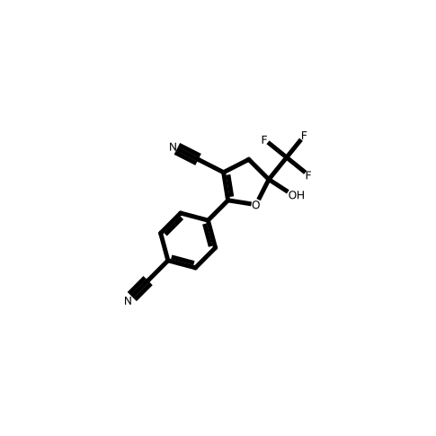 N#CC1=C(c2ccc(C#N)cc2)OC(O)(C(F)(F)F)C1